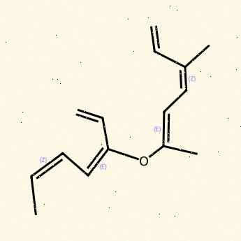 C=C/C(C)=C\C=C(/C)O/C(C=C)=C/C=C\C